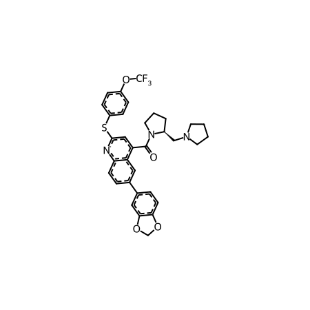 O=C(c1cc(Sc2ccc(OC(F)(F)F)cc2)nc2ccc(-c3ccc4c(c3)OCO4)cc12)N1CCC[C@H]1CN1CCCC1